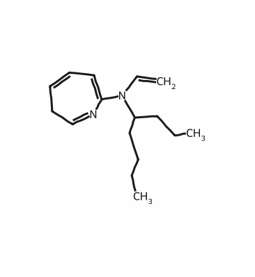 C=CN(C1=CC=CCC=N1)C(CCC)CCCC